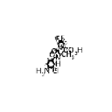 CC(NC(=O)c1ccc(N)c(Cl)c1)C(=O)N1CC(F)(F)CC1C(=O)O